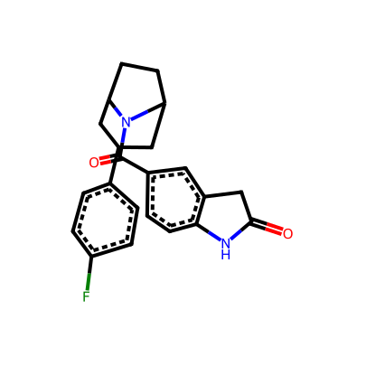 O=C1Cc2cc(C(=O)N3C4CCC3CC(c3ccc(F)cc3)C4)ccc2N1